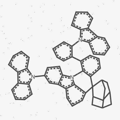 c1ccc(-n2c3ccccc3c3ccccc32)c(-c2cccc3c2-n2c4ccc(-n5c6ccccc6c6ccccc65)cc4c4cccc(c42)C32C3CC4CC(C3)CC2C4)c1